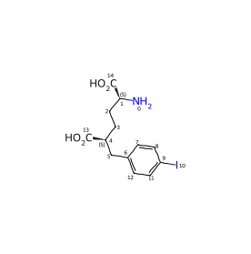 N[C@@H](CC[C@@H](Cc1ccc(I)cc1)C(=O)O)C(=O)O